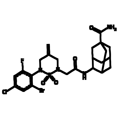 C=C1CN(CC(=O)NC2C3CC4CC2CC(C(N)=O)(C4)C3)S(=O)(=O)N(c2c(F)cc(Cl)cc2Br)C1